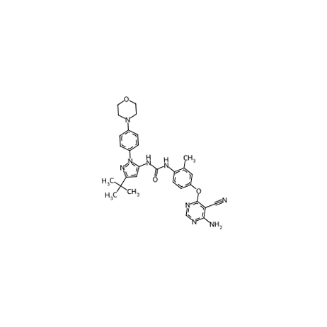 Cc1cc(Oc2ncnc(N)c2C#N)ccc1NC(=O)Nc1cc(C(C)(C)C)nn1-c1ccc(N2CCOCC2)cc1